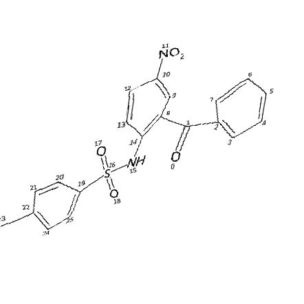 O=C(c1ccccc1)c1cc([N+](=O)[O-])ccc1NS(=O)(=O)c1ccc(Cl)cc1